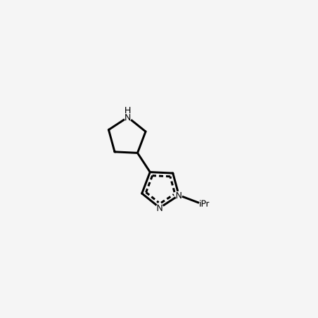 CC(C)n1cc(C2CCNC2)cn1